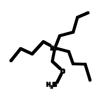 CCC[CH2][Sn]([CH2]CCC)([CH2]CCC)[CH2]O[SiH3]